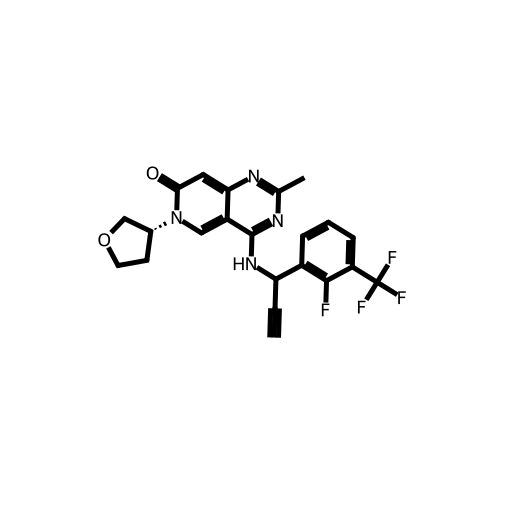 C#CC(Nc1nc(C)nc2cc(=O)n([C@@H]3CCOC3)cc12)c1cccc(C(F)(F)F)c1F